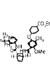 CCOC(=O)[C@H]1CC[C@@H](Oc2cc(C(=O)N[C@@H]3[C@H]4CC[C@H](C4)[C@@H]3C(=O)Nc3ccnc(C(F)(P)P)c3)c(OC)cc2C)CC1